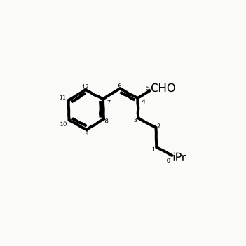 CC(C)CCC/C(C=O)=C\c1ccccc1